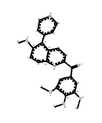 COc1cc(C(=O)c2ccc3c(-c4ccncc4)c(OC)ccc3n2)cc(OC)c1OC